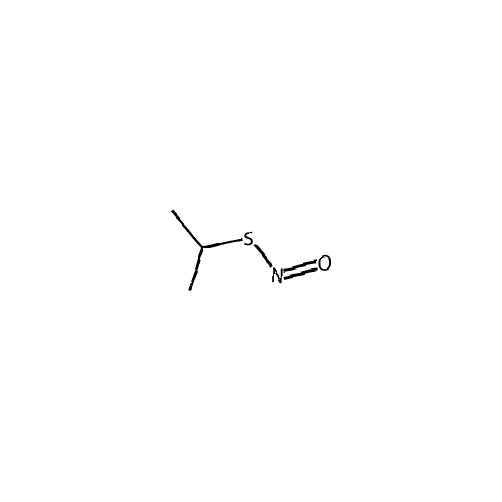 CC(C)SN=O